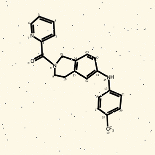 O=C(c1ccccn1)N1CCc2cc(Nc3ccc(C(F)(F)F)cc3)ccc2C1